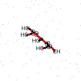 C#CCCCCCCOC(CCC(=O)OCCCCCCCN(CCCO)CCCCCCCOC(=O)CCC(OCCCCCCC#C)OCCCCCCC#C)OCCCCCCC#C